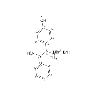 Br.Br.NC(c1ccccc1)C(N)c1ccc(O)cc1